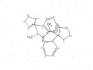 CC(C(=O)C(C)C1(c2ccccc2)CCCC1)C1(c2ccccc2)CCCC1